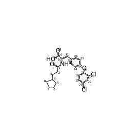 O=C(CCC1CCCC1)N/C(=C\c1ccc(Oc2ccc(Cl)cc2Cl)cc1)C(=O)O